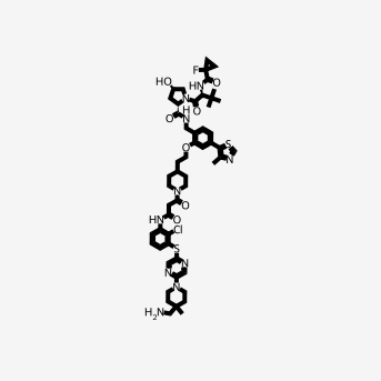 Cc1ncsc1-c1ccc(CNC(=O)[C@@H]2C[C@@H](O)CN2C(=O)[C@@H](NC(=O)C2(F)CC2)C(C)(C)C)c(OCCC2CCN(C(=O)CC(=O)Nc3cccc(Sc4cnc(N5CCC(C)(CN)CC5)cn4)c3Cl)CC2)c1